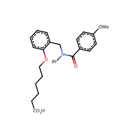 COc1ccc(C(=O)N(Cc2ccccc2OCCCCCC(=O)O)C(C)C)cc1